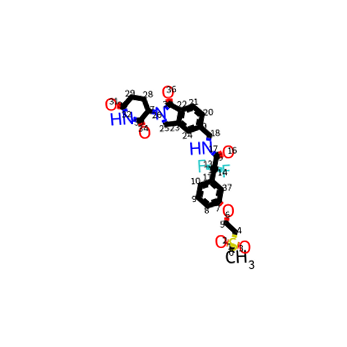 CS(=O)(=O)CCOc1cccc(C(F)(F)C(=O)NCc2ccc3c(c2)CN(C2CCC(=O)NC2=O)C3=O)c1